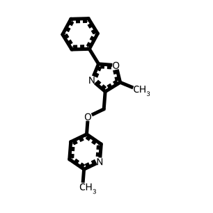 Cc1ccc(OCc2nc(-c3ccccc3)oc2C)cn1